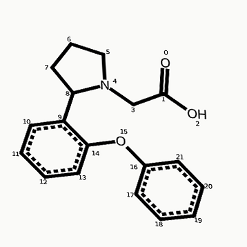 O=C(O)CN1CCCC1c1ccccc1Oc1ccccc1